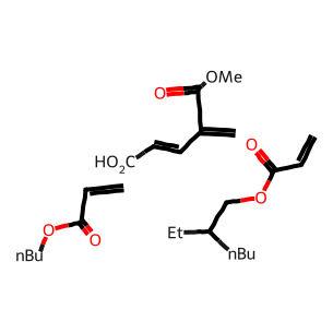 C=C(C=CC(=O)O)C(=O)OC.C=CC(=O)OCC(CC)CCCC.C=CC(=O)OCCCC